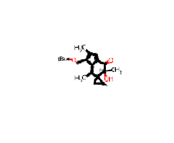 CC1=C(COC(C)(C)C)C2=C(C)C3(CC3)[C@@](C)(O)C(=O)C2=C1